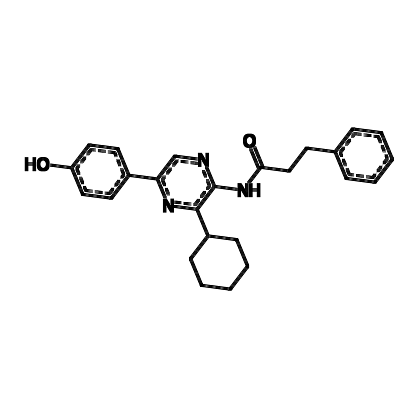 O=C(CCc1ccccc1)Nc1ncc(-c2ccc(O)cc2)nc1C1CCCCC1